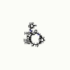 C=C1C[C@H](C)C[C@@H]2CC=C[C@@H](C/C=C\C(=O)O[C@H]([C@@H](O)/C=C/[C@@H]3CC(C)=CCO3)C[C@H](OC)[C@H](O)[C@@H](O)C1)O2